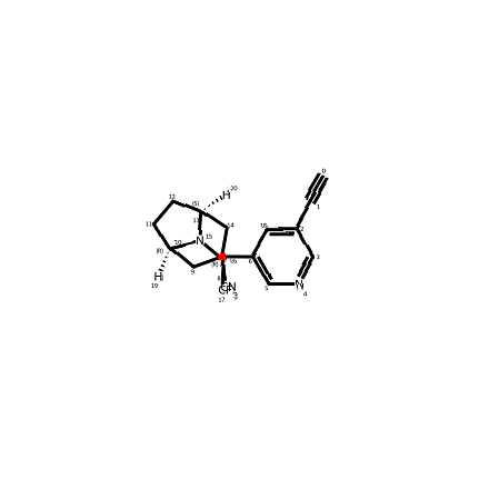 C#Cc1cncc([C@]2(C#N)C[C@H]3CC[C@@H](C2)N3CC(F)(F)F)c1